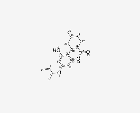 C=CC(C)Oc1cc(O)c2c3c(c(=O)oc2c1)CCC(C)C3